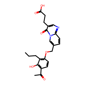 CCCc1c(OCc2ccc3ncc(CCC(=O)O)c(=O)n3c2)ccc(C(C)=O)c1O